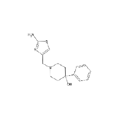 Nc1nc(CN2CCC(O)(c3ccccc3)CC2)cs1